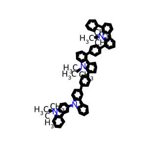 CC(C)(C)n1c2ccccc2c2cc(-n3c4ccccc4c4cc(-c5ccc(-c6cccc7c8c(-c9ccc(-c%10cccc%11c%12cccc(-c%13ccccc%13)c%12n(C(C)(C)C)c%10%11)cc9)cccc8n(C(C)(C)C)c67)cc5)ccc43)ccc21